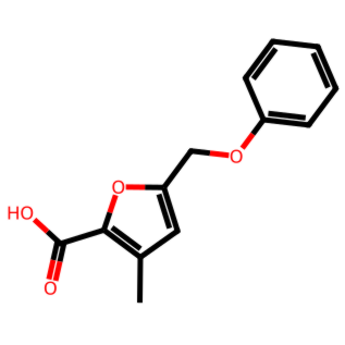 Cc1cc(COc2ccccc2)oc1C(=O)O